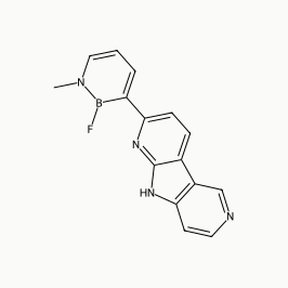 CN1C=CC=C(c2ccc3c(n2)[nH]c2ccncc23)B1F